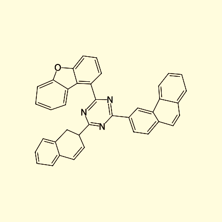 C1=CC(c2nc(-c3ccc4ccc5ccccc5c4c3)nc(-c3cccc4oc5ccccc5c34)n2)Cc2ccccc21